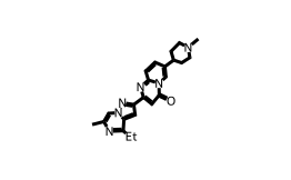 CCc1nc(C)cn2nc(-c3cc(=O)n4cc(C5CCN(C)CC5)ccc4n3)cc12